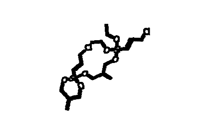 CCO[Si](/C=C/CCl)(OCC)OCC(C)CO[Si]1(/C=C/CCl)OCC(C)CO1